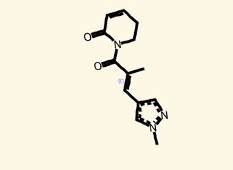 C/C(=C\c1cnn(C)c1)C(=O)N1CCC=CC1=O